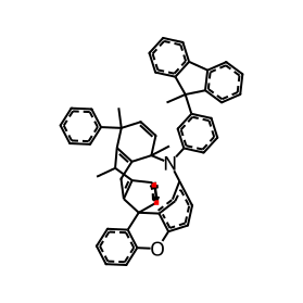 CC1C2=C3CC4=C1C(C)(c1ccccc1)C=CC4(C)N(c1cccc(C4(C)c5ccccc5-c5ccccc54)c1)c1ccc4c(c1)C3(c1ccccc1O4)c1ccccc12